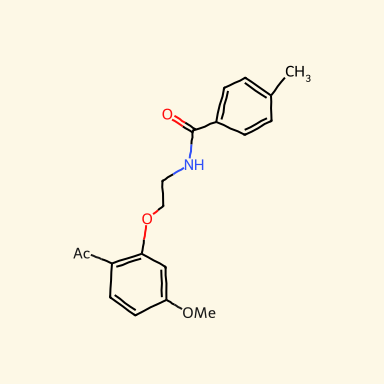 COc1ccc(C(C)=O)c(OCCNC(=O)c2ccc(C)cc2)c1